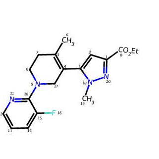 CCOC(=O)c1cc(C2=C(C)CCN(c3ncccc3F)C2)n(C)n1